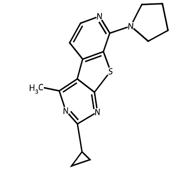 Cc1nc(C2CC2)nc2sc3c(N4CCCC4)nccc3c12